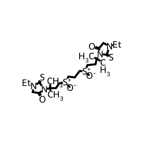 CCN1CC(=O)N(C(C)(C)CC[S+]([O-])CCC[S+]([O-])CCC(C)(C)N2C(=O)CN(CC)C2=S)C1=S